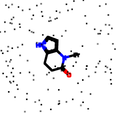 CC(C)N1C(=O)CCc2[nH]ccc21